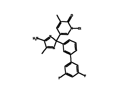 CCn1cc(C2(c3cccc(-c4cc(F)cc(F)c4)c3)N=C(C)C(N)=N2)cc(C)c1=O